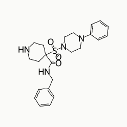 O=C(NCc1ccccc1)C1(S(=O)(=O)N2CCN(c3ccccc3)CC2)CCNCC1